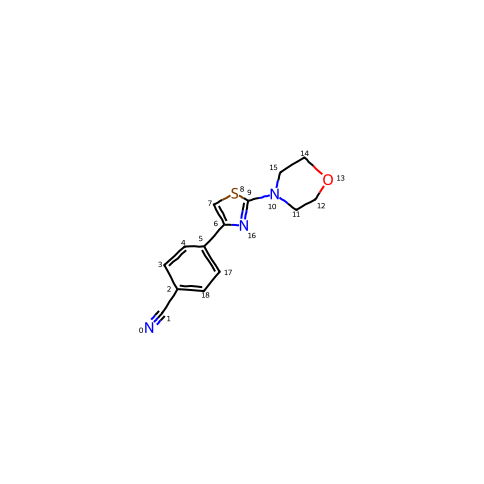 N#Cc1ccc(-c2csc(N3CCOCC3)n2)cc1